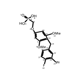 COc1cc(OCP(=O)(O)O)cc(OC)c1Cc1ccc(F)c(C(C)C)c1